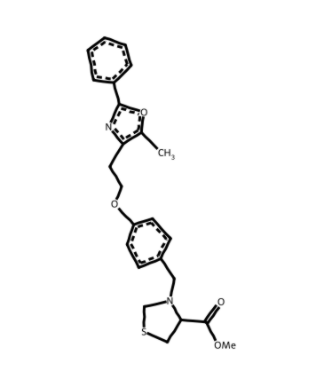 COC(=O)C1CSCN1Cc1ccc(OCCc2nc(-c3ccccc3)oc2C)cc1